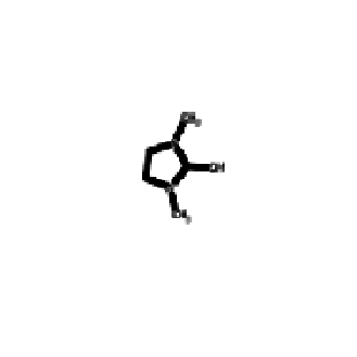 CN1CCN(C)C1O